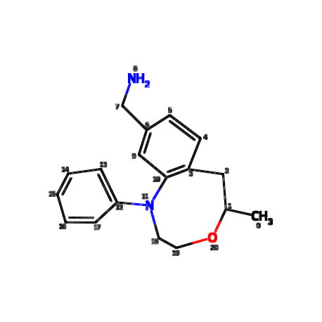 CC1Cc2ccc(CN)cc2N(c2ccccc2)CCO1